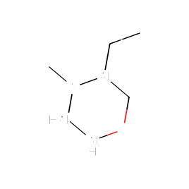 C[CH2][Al]1[CH2][O][AlH][AlH][Al]1[CH3]